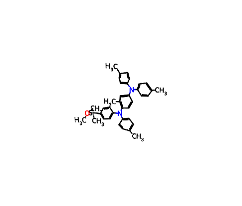 CO[Si](C)(C)c1ccc(N(c2ccc(C)cc2)c2ccc(N(c3ccc(C)cc3)c3ccc(C)cc3)cc2C)cc1